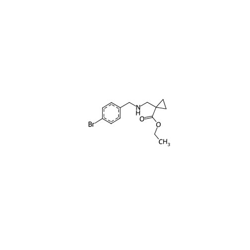 CCOC(=O)C1(CNCc2ccc(Br)cc2)CC1